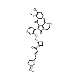 COc1c(Cl)cccc1Nc1c(-c2ccncc2OC[C@H]2CCN2C(=O)/C=C/CN2CC[C@H](OC)C2)[nH]c2c1C(=O)NCC2